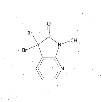 CN1C(=O)C(Br)(Br)c2cccnc21